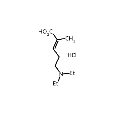 CCN(CC)CCC=C(C)C(=O)O.Cl